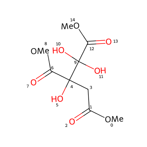 COC(=O)CC(O)(C(=O)OC)C(O)(O)C(=O)OC